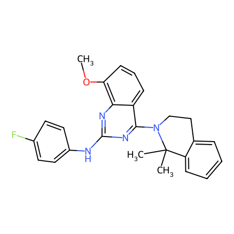 COc1cccc2c(N3CCc4ccccc4C3(C)C)nc(Nc3ccc(F)cc3)nc12